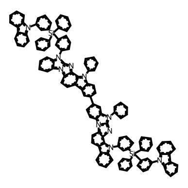 c1ccc(-n2c3ccc(-c4ccc5c(c4)n(-c4ccccc4)c4nc6c7c(ccc6n54)c4ccccc4n7-c4cccc([Si](c5ccccc5)(c5ccccc5)c5cccc(-n6c7ccccc7c7ccccc76)c5)c4)cc3c3ccc4c(nc5n(-c6cccc([Si](c7ccccc7)(c7ccccc7)c7cccc(-n8c9ccccc9c9ccccc98)c7)c6)c6ccccc6n45)c32)cc1